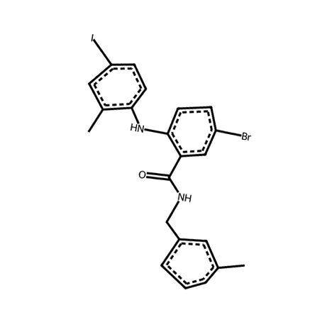 Cc1cccc(CNC(=O)c2cc(Br)ccc2Nc2ccc(I)cc2C)c1